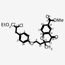 CCOC(=O)C(Cl)Cc1ccc(OCCC2(C)CC(=O)c3cc(C(=O)OC)ccc3O2)cc1